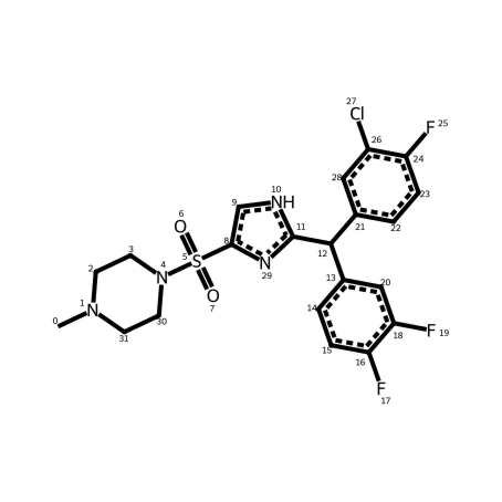 CN1CCN(S(=O)(=O)c2c[nH]c(C(c3ccc(F)c(F)c3)c3ccc(F)c(Cl)c3)n2)CC1